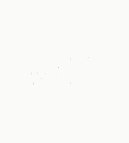 Cc1nn(CCC(C)(C)O)c(C)c1-c1cccc(CO)c1C